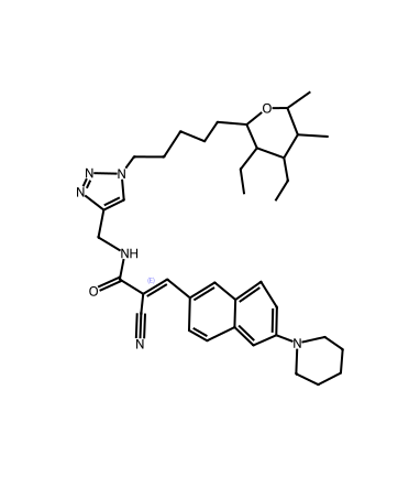 CCC1C(CCCCCn2cc(CNC(=O)/C(C#N)=C/c3ccc4cc(N5CCCCC5)ccc4c3)nn2)OC(C)C(C)C1CC